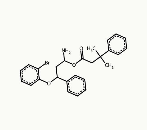 CC(C)(CC(=O)OC(N)CC(Oc1ccccc1Br)c1ccccc1)c1ccccc1